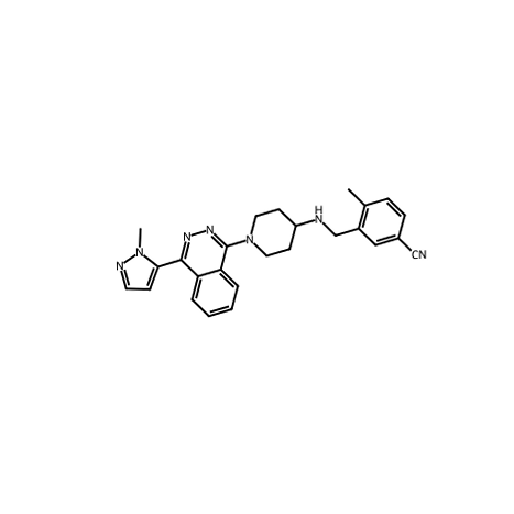 Cc1ccc(C#N)cc1CNC1CCN(c2nnc(-c3ccnn3C)c3ccccc23)CC1